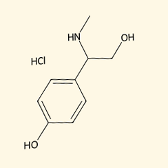 CNC(CO)c1ccc(O)cc1.Cl